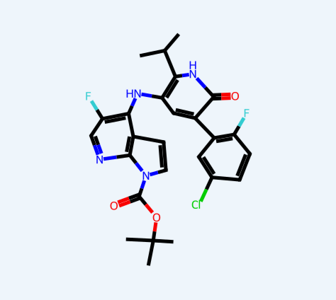 CC(C)c1[nH]c(=O)c(-c2cc(Cl)ccc2F)cc1Nc1c(F)cnc2c1ccn2C(=O)OC(C)(C)C